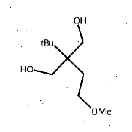 COCCC(CO)(CO)C(C)(C)C